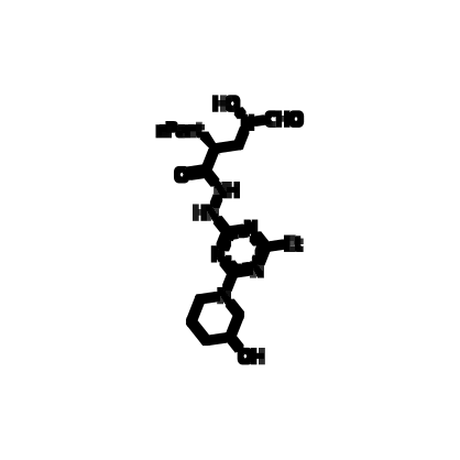 CCCCC[C@@H](CN(O)C=O)C(=O)NNc1nc(CC)nc(N2CCCC(O)C2)n1